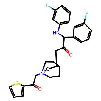 O=C(C[N+]12CCC(CC1)C(CC(=O)C(Nc1cccc(F)c1)c1cccc(F)c1)C2)c1cccs1